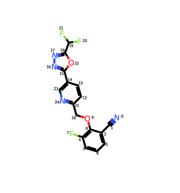 N#Cc1cccc(F)c1OCc1ccc(-c2nnc(C(F)F)o2)cn1